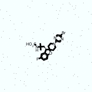 CC(C)(C[C@@H]1c2cc(F)ccc2OC12CCN(c1cnc(Br)cn1)CC2)NC(=O)O